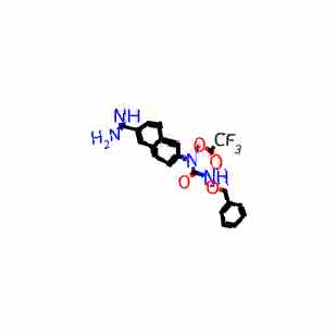 N=C(N)c1ccc2cc(N(OC(=O)C(F)(F)F)C(=O)NOCc3ccccc3)ccc2c1